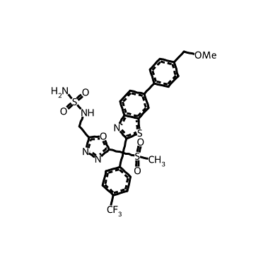 COCc1ccc(-c2ccc3nc(C(c4ccc(C(F)(F)F)cc4)(c4nnc(CNS(N)(=O)=O)o4)S(C)(=O)=O)sc3c2)cc1